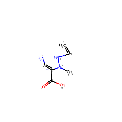 C=CNN(C)/C(=C\N)C(=O)O